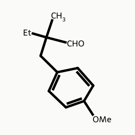 CCC(C)(C=O)Cc1ccc(OC)cc1